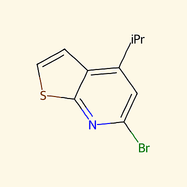 CC(C)c1cc(Br)nc2sccc12